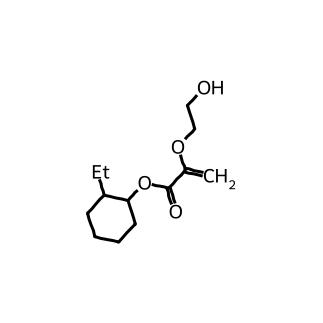 C=C(OCCO)C(=O)OC1CCCCC1CC